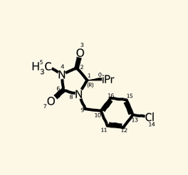 CC(C)[C@@H]1C(=O)N(C)C(=O)N1Cc1ccc(Cl)cc1